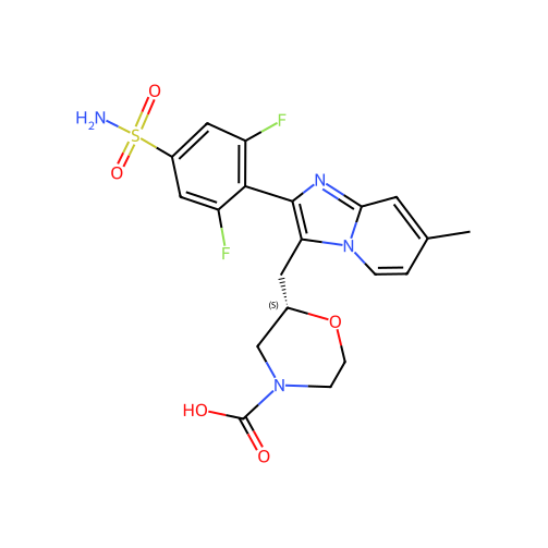 Cc1ccn2c(C[C@H]3CN(C(=O)O)CCO3)c(-c3c(F)cc(S(N)(=O)=O)cc3F)nc2c1